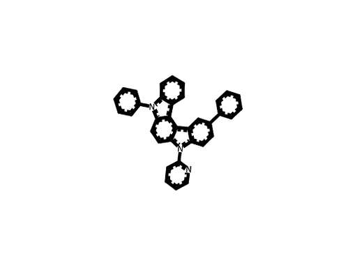 c1ccc(-c2ccc3c(c2)c2c4c5ccccc5n(-c5ccccc5)c4ccc2n3-c2ccccn2)cc1